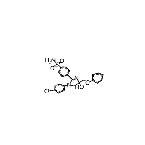 NS(=O)(=O)c1ccc(C2=NC(O)(COc3ccccc3)CN2c2ccc(Cl)cc2)cc1